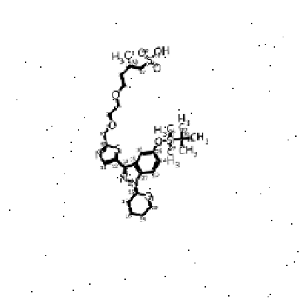 C[C@@H](CCOCCOCc1ncc(-c2nn(C3CCCCO3)c3ccc(O[Si](C)(C)C(C)(C)C)cc23)s1)CS(=O)(=O)O